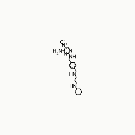 [C-]#[N+]c1cnc(NCc2ccc(CNCCCNC3CCCCC3)cc2)nc1N